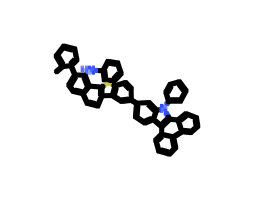 Cc1ccccc1-c1ccc2ccc3c4cc(-c5ccc6c7c8ccccc8c8ccccc8c7n(-c7ccccc7)c6c5)ccc4sc3c2c1Nc1ccccc1